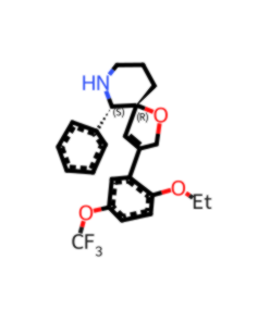 CCOc1ccc(OC(F)(F)F)cc1C1=C[C@@]2(CCCN[C@H]2c2ccccc2)OC1